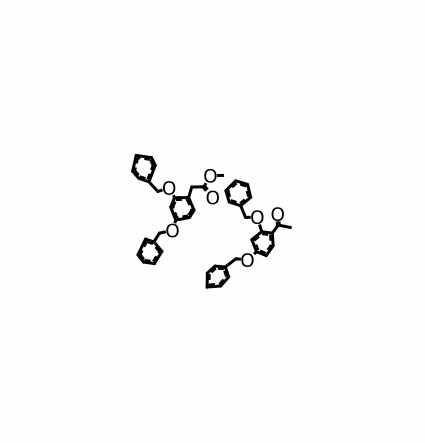 CC(=O)c1ccc(OCc2ccccc2)cc1OCc1ccccc1.COC(=O)Cc1ccc(OCc2ccccc2)cc1OCc1ccccc1